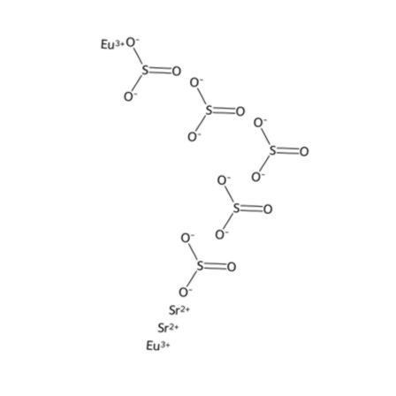 O=S([O-])[O-].O=S([O-])[O-].O=S([O-])[O-].O=S([O-])[O-].O=S([O-])[O-].[Eu+3].[Eu+3].[Sr+2].[Sr+2]